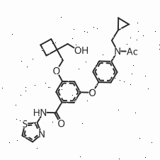 CC(=O)N(CC1CC1)c1ccc(Oc2cc(OCC3(CO)CCC3)cc(C(=O)Nc3nccs3)c2)cc1